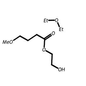 CCOCC.COCCCC(=O)OCCO